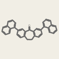 O=C1c2cc(-c3cccc4ccccc34)ccc2CCc2ccc(-c3cccc4ccccc34)cc21